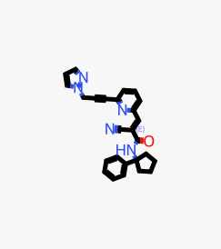 N#C/C(=C\c1cccc(C#CCn2cccn2)n1)C(=O)NC1(c2ccccc2)CCCC1